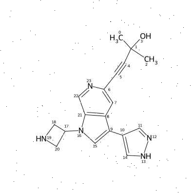 CC(C)(O)C#Cc1cc2c(-c3cn[nH]c3)cn(C3CNC3)c2cn1